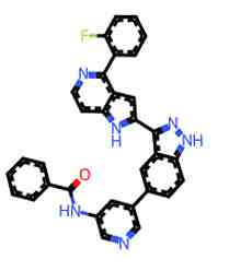 O=C(Nc1cncc(-c2ccc3[nH]nc(-c4cc5c(-c6ccccc6F)nccc5[nH]4)c3c2)c1)c1ccccc1